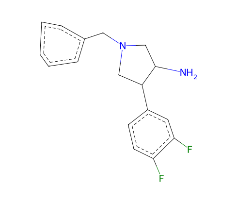 NC1CN(Cc2ccccc2)CC1c1ccc(F)c(F)c1